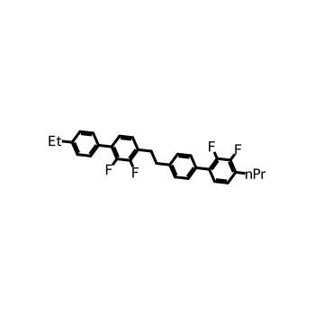 CCCc1ccc(-c2ccc(CCc3ccc(-c4ccc(CC)cc4)c(F)c3F)cc2)c(F)c1F